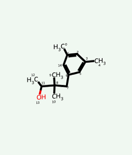 Cc1cc(C)cc(CC(C)(C)C(C)O)c1